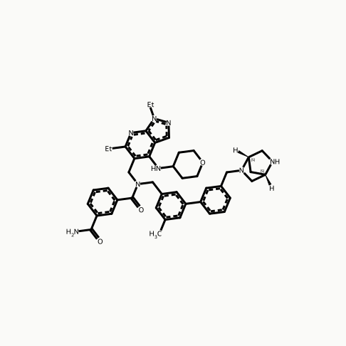 CCc1nc2c(cnn2CC)c(NC2CCOCC2)c1CN(Cc1cc(C)cc(-c2cccc(CN3C[C@@H]4C[C@H]3CN4)c2)c1)C(=O)c1cccc(C(N)=O)c1